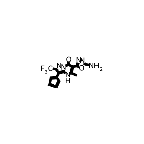 Cc1[nH]c2c(-c3ccccc3)c(C(F)(F)F)nn2c(=O)c1-c1nnc(N)o1